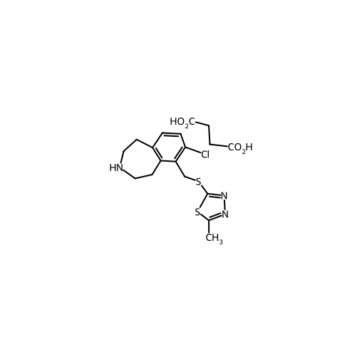 Cc1nnc(SCc2c(Cl)ccc3c2CCNCC3)s1.O=C(O)CCC(=O)O